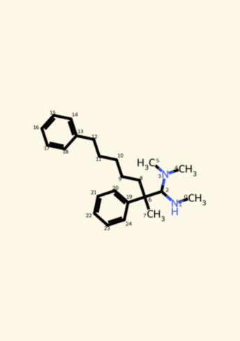 CNC(N(C)C)C(C)(CCCCCc1ccccc1)c1ccccc1